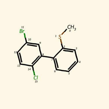 CSc1ccccc1-c1cc(Br)ccc1Cl